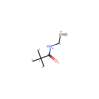 CC(C)(C)C(=O)NCC=O